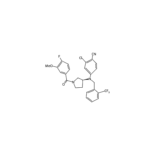 COc1cc(C(=O)N2CC[C@H](N(Cc3ccccc3C(F)(F)F)c3ccc(C#N)c(Cl)c3)C2)ccc1F